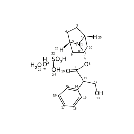 CN1[C@@H]2CC[C@H]1C[C@@H](OC(=O)C(CO)c1ccccc1)C2.O.O.O=S(=O)(O)O